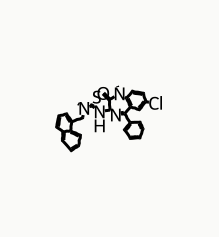 CN(Cc1cccc2ccccc12)C(=S)NC1N=C(c2ccccc2)c2cc(Cl)ccc2N(C)C1=O